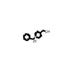 OCc1cc[n+](Cc2ccccc2)cc1.[Cl-]